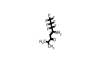 C[C](C)C(=O)/C=C(\N)C(F)(F)C(F)(F)C(F)(F)F